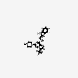 CN1CCN(c2nc(NCc3nc4ccccc4[nH]3)c3ncc(C(F)(F)F)n3n2)CC1